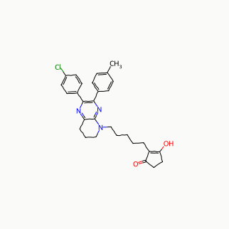 Cc1ccc(-c2nc3c(nc2-c2ccc(Cl)cc2)CCCN3CCCCCC2=C(O)CCC2=O)cc1